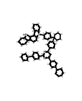 c1ccc(-c2ccc(-c3cc(-c4ccc(C5(c6ccc(-n7c8ccccc8c8c9[nH]c%10ccccc%10c9ccc87)cc6)CCCCC5)cc4)nc(-c4ccc(-c5ccccc5)cc4)n3)cc2)cc1